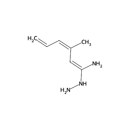 C=C/C=C(C)\C=C(/N)NN